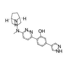 CN(c1ccc(-c2ccc(-c3cn[nH]c3)cc2O)nn1)C1C[C@H]2CC[C@@H](C1)N2